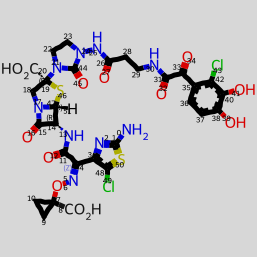 Nc1nc(/C(=N/OC2(C(=O)O)CC2)C(=O)N[C@@H]2C(=O)N3C[C@@](C(=O)O)(N4CCN(NC(=O)CCNC(=O)C(=O)c5ccc(O)c(O)c5Cl)C4=O)S[C@H]23)c(Cl)s1